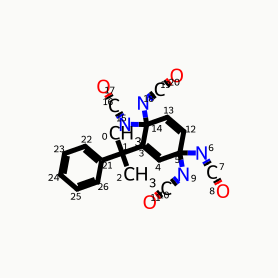 CC(C)(C1=CC(N=C=O)(N=C=O)C=CC1(N=C=O)N=C=O)c1ccccc1